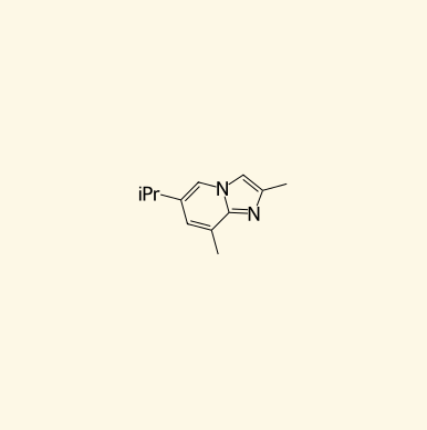 Cc1cn2cc(C(C)C)cc(C)c2n1